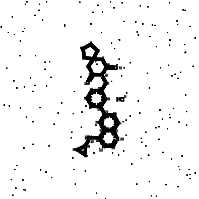 Cl.O=C1CC2(CCCC2)CC(=O)N1Cc1cccc(-c2ccc3ncnc(NC4CC4)c3c2)c1